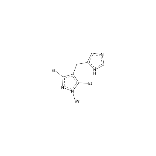 CCc1nn(C(C)C)c(CC)c1Cc1cnc[nH]1